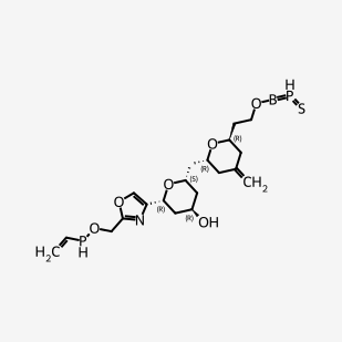 C=CPOCc1nc([C@H]2C[C@H](O)C[C@@H](C[C@H]3CC(=C)C[C@H](CCOB=[PH]=S)O3)O2)co1